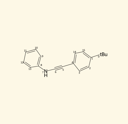 CC(C)(C)c1ccc(C#CNc2ccccc2)cc1